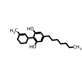 CCCCCCCc1cc(O)c(C2C=C(C)CCC2)c(O)c1